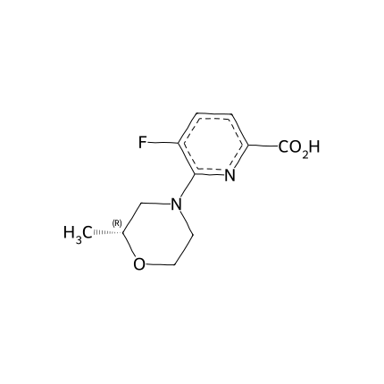 C[C@@H]1CN(c2nc(C(=O)O)ccc2F)CCO1